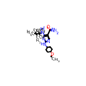 CCOC1CCC(Nc2ncc(C(N)=O)c(NC(C)(C)C(C)(C)C)n2)CC1